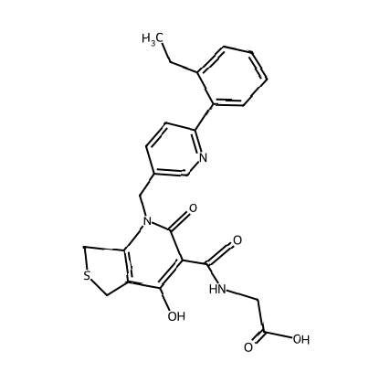 CCc1ccccc1-c1ccc(Cn2c3c(c(O)c(C(=O)NCC(=O)O)c2=O)CSC3)cn1